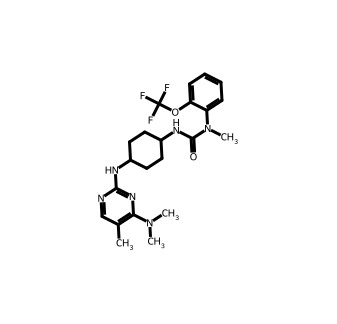 Cc1cnc(NC2CCC(NC(=O)N(C)c3ccccc3OC(F)(F)F)CC2)nc1N(C)C